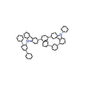 c1ccc(-c2cccc(-c3cccc4c3c3cc(-c5ccc(-c6ccc7c(c6)c6ccccc6n7-c6cc(-c7ccccc7)ccc6-c6ccccc6)cc5)ccc3n4-c3ccccc3)c2)cc1